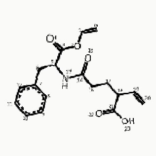 C=COC(=O)[C@H](Cc1ccccc1)NC(=O)CCC(C=C)C(=O)O